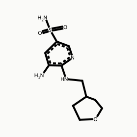 Nc1cc(S(N)(=O)=O)cnc1NCC1CCOCC1